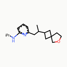 CC(C)Nc1cccc(CC(C)C2CC3(CCOC3)C2)n1